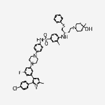 Cc1cc(S(=O)(=O)Nc2ccc(N3CCN(c4cc(F)cc(-c5cc(C)n(C)c5-c5ccc(Cl)cc5)c4)CC3)cc2)ccc1N[C@H](CCN1CCC(C)(O)CC1)CSc1ccccc1